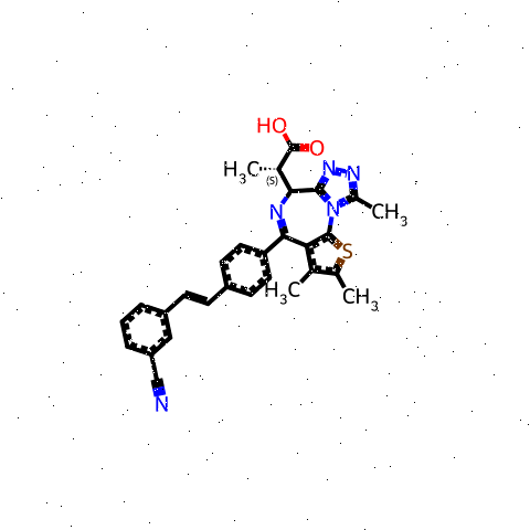 Cc1sc2c(c1C)C(c1ccc(C=Cc3cccc(C#N)c3)cc1)=NC([C@H](C)C(=O)O)c1nnc(C)n1-2